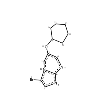 Brc1cnc2ncc(OC3CCCCC3)cn12